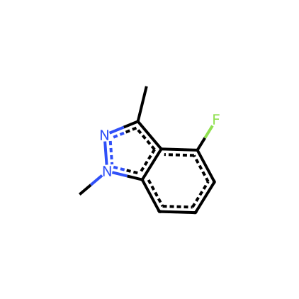 Cc1nn(C)c2cccc(F)c12